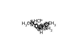 Cc1nc(-c2ccc(S(=O)(=O)N[C@@H](CN)C(=O)N3CCN(C)CC3)cc2)cs1.Cl